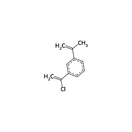 C=C(C)c1cccc(C(=C)Cl)c1